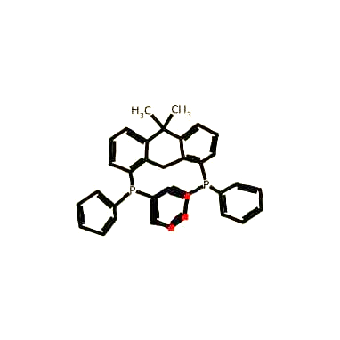 CC1(C)c2cccc(P(c3ccccc3)c3ccccc3)c2Cc2c(P(c3ccccc3)c3ccccc3)cccc21